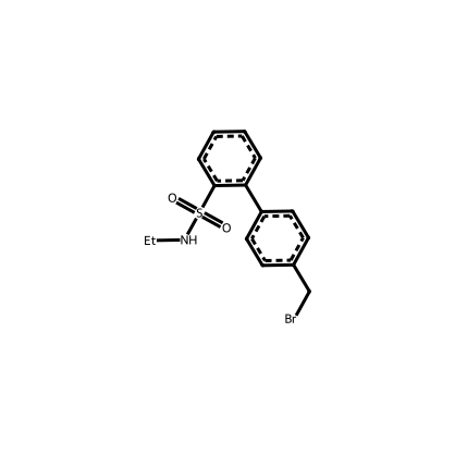 CCNS(=O)(=O)c1ccccc1-c1ccc(CBr)cc1